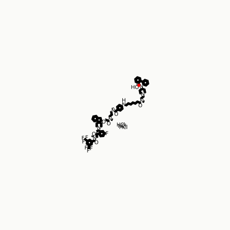 CN(CCN1CCC(N(C(=O)O)c2ccccc2-c2ccccc2)CC1)C(=O)CCCCCCNc1ccc(C(=O)N(C)CCCN(C)C(=O)CO[C@H]2Cc3ccccc3C23CCN(CC[C@]2(c4ccc(F)cc4)CN(C(=O)c4cc(C(F)(F)F)cc(C(F)(F)F)c4)CO2)CC3)cc1.Cl.Cl.Cl